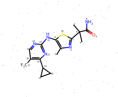 Cc1nc(C(C)(C)C(N)=O)sc1Nc1ncc(C(F)(F)F)c(C2CC2)n1